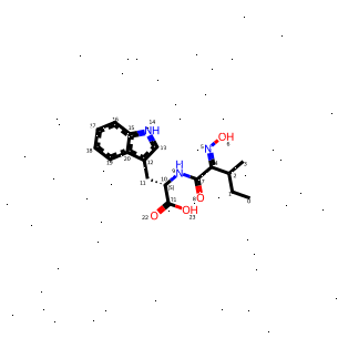 CCC(C)C(=NO)C(=O)N[C@@H](Cc1c[nH]c2ccccc12)C(=O)O